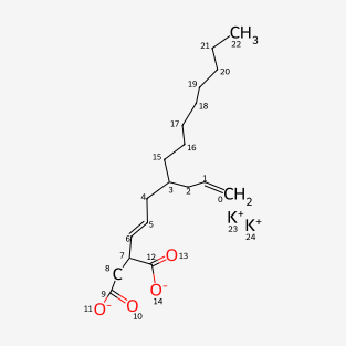 C=CCC(C/C=C/C(CC(=O)[O-])C(=O)[O-])CCCCCCCC.[K+].[K+]